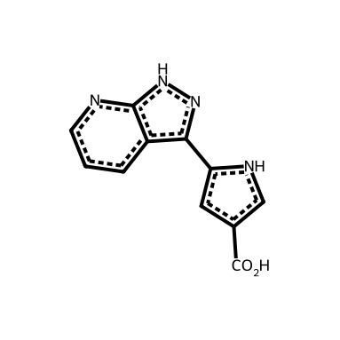 O=C(O)c1c[nH]c(-c2n[nH]c3ncccc23)c1